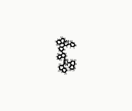 c1ccc(-c2cc(-c3cccc(-c4ccc(-c5cc(-c6cccc7ccccc67)nc(-c6cccc7ccccc67)n5)c5ccccc45)c3)c3c(ccc4ccccc43)n2)cc1